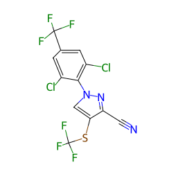 N#Cc1nn(-c2c(Cl)cc(C(F)(F)F)cc2Cl)cc1SC(F)(F)F